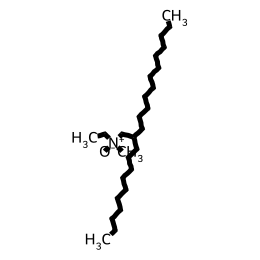 CCCCCCCCCCCCC(CCCCCCCCCC)C[N+](C)([O-])CC